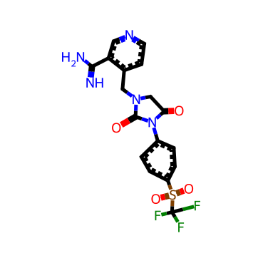 N=C(N)c1cnccc1CN1CC(=O)N(c2ccc(S(=O)(=O)C(F)(F)F)cc2)C1=O